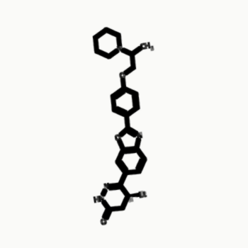 CC[C@H]1CC(=O)NN=C1c1ccc2nc(-c3ccc(OCC(C)N4CCCCC4)cc3)oc2c1